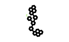 Fc1ccc(-c2cc(-c3cccc(-c4ccc5ccc6cccc7ccc4c5c67)c3)ccc2-c2cccc(-c3ccc4ccc5cccc6ccc3c4c56)c2)cc1